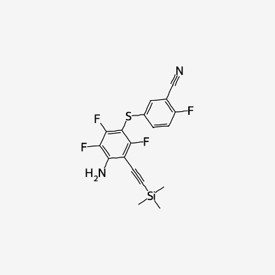 C[Si](C)(C)C#Cc1c(N)c(F)c(F)c(Sc2ccc(F)c(C#N)c2)c1F